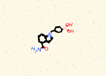 NC(=O)c1cccc2c1ccn2CC1=CCC(B(O)O)C=C1